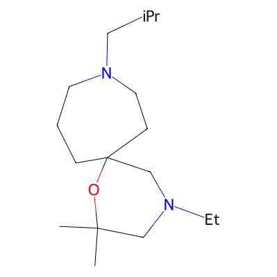 CCN1CC(C)(C)OC2(CCCN(CC(C)C)CC2)C1